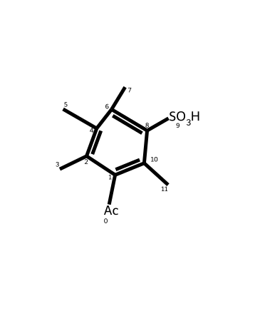 CC(=O)c1c(C)c(C)c(C)c(S(=O)(=O)O)c1C